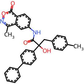 Cc1ccc(CC(O)(C(=O)Nc2ccc3c(=O)onc(C)c3c2)c2ccc(-c3ccccc3)cc2)cc1